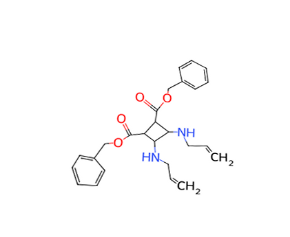 C=CCNC1C(NCC=C)C(C(=O)OCc2ccccc2)C1C(=O)OCc1ccccc1